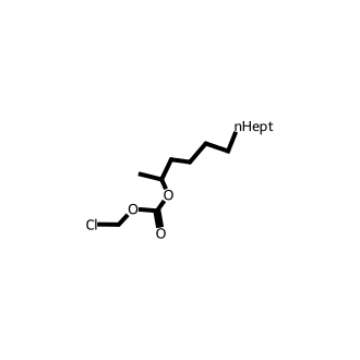 CCCCCCCCCCCC(C)OC(=O)OCCl